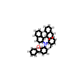 Cc1ccccc1N(c1ccc2ccccc2c1-c1cccc2ccccc12)c1cccc2c1oc1ccccc12